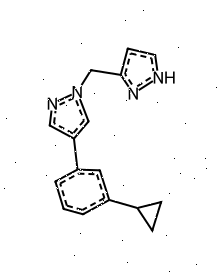 c1cc(-c2cnn(Cc3cc[nH]n3)c2)cc(C2CC2)c1